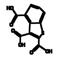 O=C(O)c1sc2cccc(C(=O)O)c2c1C(=O)O